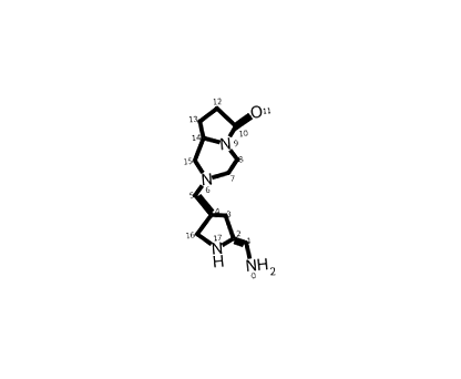 N/C=C1/C/C(=C\N2CCN3C(=O)CCC3C2)CN1